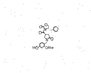 COc1cc(O)ccc1CN1C[C@@H](C(=O)N2C(=O)OC[C@@H]2Cc2ccccc2)CC1=O